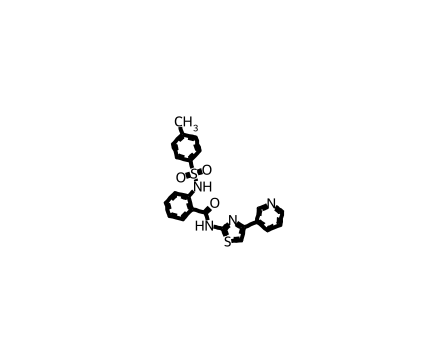 Cc1ccc(S(=O)(=O)Nc2ccccc2C(=O)Nc2nc(-c3cccnc3)cs2)cc1